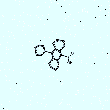 OB(O)c1c2ccccc2c(-c2ccncc2)c2ccccc12